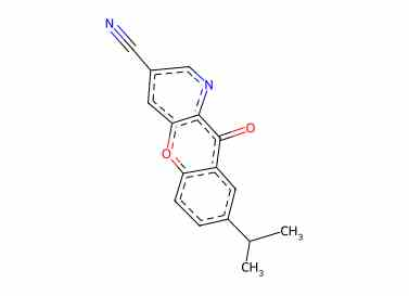 CC(C)c1ccc2oc3cc(C#N)cnc3c(=O)c2c1